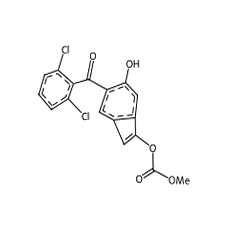 COC(=O)OC1=Cc2cc(C(=O)c3c(Cl)cccc3Cl)c(O)cc21